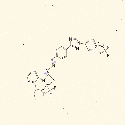 CCC1OC2(C(F)(F)F)CS/C(=N\N=C\c3ccc(-c4ncn(-c5ccc(OC(F)(F)F)cc5)n4)cc3)N2c2ccccc21